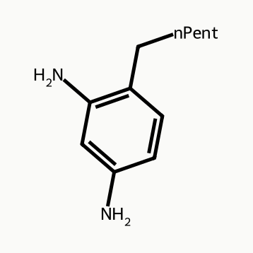 [CH2]CCCCCc1ccc(N)cc1N